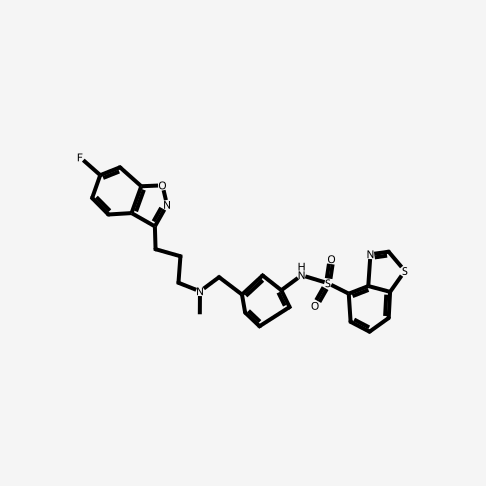 CN(CCCc1noc2cc(F)ccc12)Cc1cccc(NS(=O)(=O)c2cccc3scnc23)c1